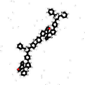 c1ccc(-c2nc(-c3ccc(-c4ccc5c(c4)C4(c6ccccc6S5)c5ccccc5-c5ccccc54)cc3)cc(-c3ccc4c(c3)sc3cc(-c5ccc6c(c5)C5(c7ccccc7Sc7ccc(-c8ccc(-c9cc(-c%10ccccn%10)nc(-c%10ccccc%10)n9)cc8)cc75)c5ccccc5-6)ccc34)n2)cc1